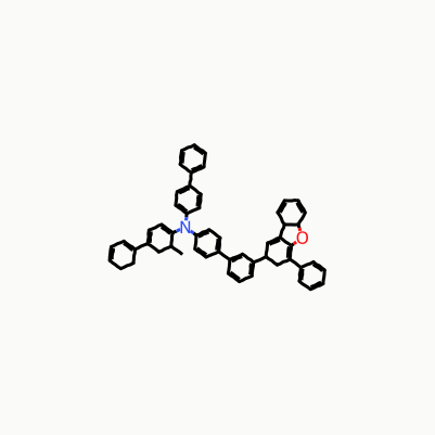 CC1CC(C2=CC=CCC2)=CC=C1N(c1ccc(-c2ccccc2)cc1)c1ccc(-c2cccc(C3C=C4C(=C(c5ccccc5)C3)OC3C=CC=CC43)c2)cc1